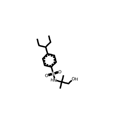 CCC(CC)c1ccc(S(=O)(=O)NC(C)(C)CO)cc1